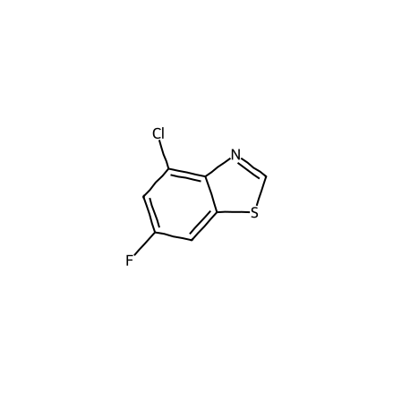 Fc1cc(Cl)c2ncsc2c1